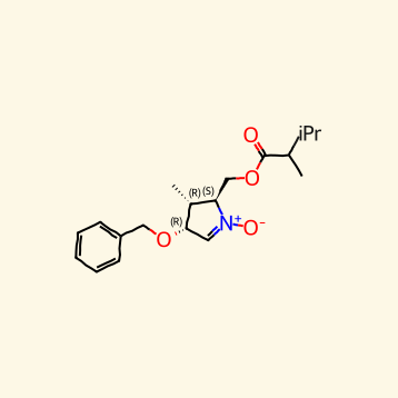 CC(C)C(C)C(=O)OC[C@@H]1[C@@H](C)[C@@H](OCc2ccccc2)C=[N+]1[O-]